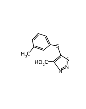 Cc1cccc(Sc2snnc2C(=O)O)c1